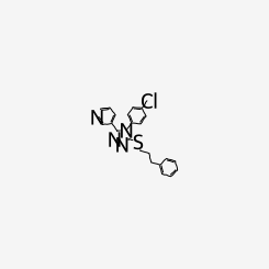 Clc1ccc(-n2c(SCCCc3ccccc3)nnc2-c2cccnc2)cc1